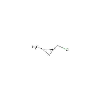 CC1CC1CCl